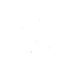 C[Si](C)=[Zr]([c]1cccc2c1Cc1ccccc1-2)([CH]1C=CC=C1)[CH]1C=CC=C1.[H-].[H-]